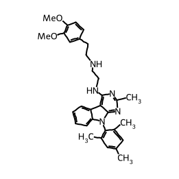 COc1ccc(CCNCCNc2nc(C)nc3c2c2ccccc2n3-c2c(C)cc(C)cc2C)cc1OC